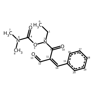 CCN(OC(=O)N(C)C)C(=O)C([C]=O)=Cc1ccccc1